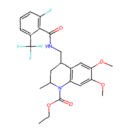 CCOC(=O)N1c2cc(OC)c(OC)cc2C(CNC(=O)c2c(F)cccc2C(F)(F)F)CC1C